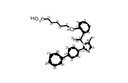 [2H]C(c1ccccc1OCCCCCC(=O)O)n1c(C)cnc1-c1ccc(-c2ccccc2)cc1